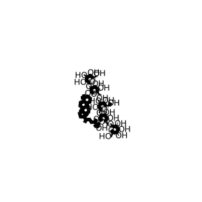 CC(CCC(O[C@@H]1O[C@H](CO[C@@H]2O[C@H](CO)[C@@H](O)[C@H](O)[C@H]2O)[C@@H](O)[C@H](O)[C@H]1O[C@@H]1O[C@H](CO)[C@@H](O)[C@H](O)[C@H]1O)C(C)(C)O)C1CCC2(C)C3CC=C4C(CC[C@H](OC5O[C@H](CO)[C@@H](O)[C@H](O)[C@H]5O[C@@H]5O[C@H](CO)[C@@H](O)[C@H](O)[C@H]5O)C4(C)C)C3(C)CCC12C